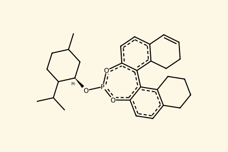 CC1CCC(C(C)C)[C@H](Op2oc3ccc4c(c3c3c5c(ccc3o2)CCCC5)CCC=C4)C1